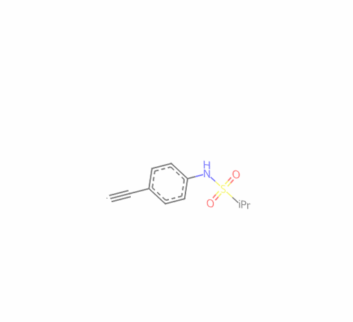 [C]#Cc1ccc(NS(=O)(=O)C(C)C)cc1